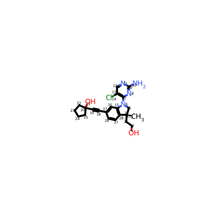 C[C@]1(CCO)CN(c2nc(N)ncc2Cl)c2cc(C#CC3(O)CCCC3)ccc21